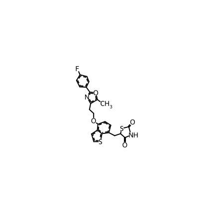 Cc1oc(-c2ccc(F)cc2)nc1CCOc1ccc(CC2SC(=O)NC2=O)c2sccc12